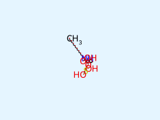 CCCCCCCCCCCCCCCCNC(=O)c1cc(OCC(O)CSCCO)c2ccccc2c1O